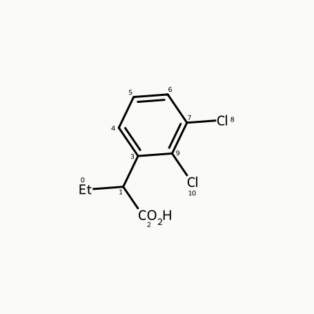 CCC(C(=O)O)c1cccc(Cl)c1Cl